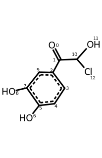 O=C(c1ccc(O)c(O)c1)C(O)Cl